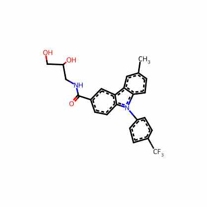 Cc1ccc2c(c1)c1cc(C(=O)NCC(O)CO)ccc1n2-c1ccc(C(F)(F)F)cc1